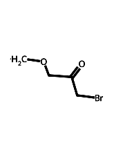 [CH2]OCC(=O)CBr